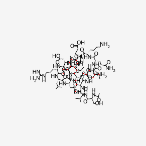 CC[C@H](C)[C@H](NC(=O)[C@H](CCC(=O)O)NC(=O)[C@H](CCCCN)NC(=O)[C@H](CCC(N)=O)NC(=O)[C@@H](NC(=O)[C@H](CC(N)=O)NC(=O)[C@@H](NC(=O)[C@@H](NC(=O)[C@H](CO)NC(C)=O)C(C)C)C(C)C)[C@@H](C)CC)C(=O)N[C@@H](CC(=O)O)C(=O)N[C@@H](CCCNC(=N)N)C(=O)N[C@@H](CC(C)C)C(=O)N[C@@H](CC(N)=O)C(=O)N[C@@H](CCC(=O)O)C(=O)N[C@H](C(=O)N[C@@H](C)C(=O)O)C(C)C